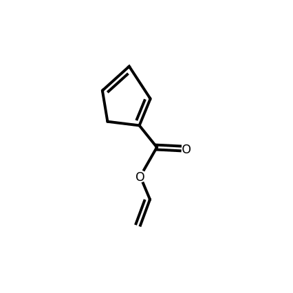 C=COC(=O)C1=CC=CC1